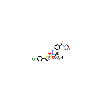 O=C(c1cccc([C@@H]2CC2(NS(=O)(=O)c2ccc(-c3ccc(Cl)cc3)s2)C(=O)O)c1)N1CCOCC1